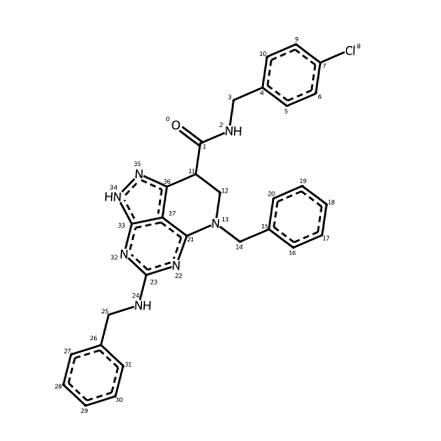 O=C(NCc1ccc(Cl)cc1)C1CN(Cc2ccccc2)c2nc(NCc3ccccc3)nc3[nH]nc1c23